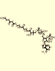 CC(C)(COP(=O)(O)OP(=O)(O)OCC1OC(n2cnc3c(N)ncnc32)C(O)C1OP(=O)(O)O)C(O)C(=O)NCCC(=O)NCCSC(=O)CC(=O)CCCO